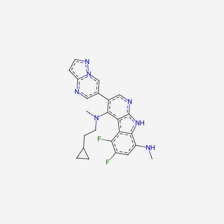 CNc1cc(F)c(F)c2c1[nH]c1ncc(-c3cnc4ccnn4c3)c(N(C)CCC3CC3)c12